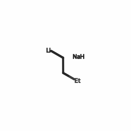 [Li][CH2]CCC.[NaH]